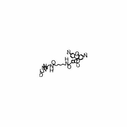 CN(C)c1ccc2c(c1)Oc1cc(N(C)C)ccc1C21OC(=O)c2cc(C(=O)NCCCCCC(=O)NCc3cn(CC(=O)I)nn3)ccc21